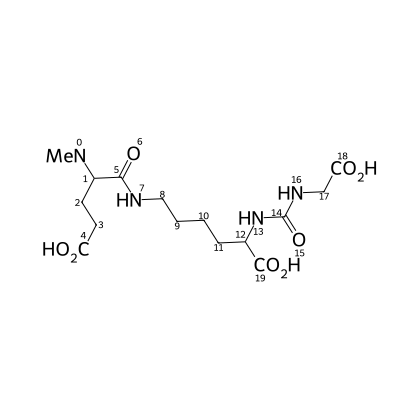 CNC(CCC(=O)O)C(=O)NCCCCC(NC(=O)NCC(=O)O)C(=O)O